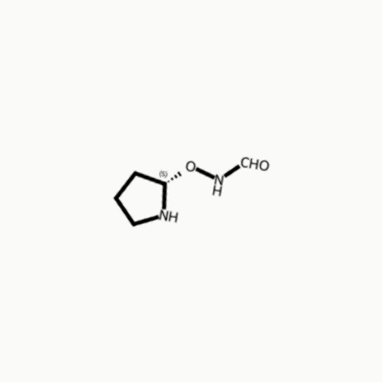 O=CNO[C@H]1CCCN1